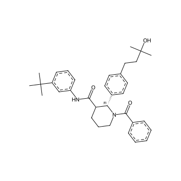 CC(C)(O)CCc1ccc([C@H]2C(C(=O)Nc3cccc(C(C)(C)C)c3)CCCN2C(=O)c2ccccc2)cc1